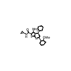 COc1ccccc1-c1cc(-c2ccccc2)c2c(N)c(C(=O)NC3CC3)sc2n1